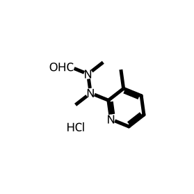 Cc1cccnc1N(C)N(C)C=O.Cl